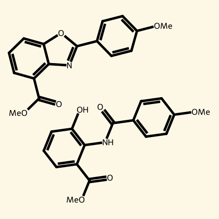 COC(=O)c1cccc(O)c1NC(=O)c1ccc(OC)cc1.COC(=O)c1cccc2oc(-c3ccc(OC)cc3)nc12